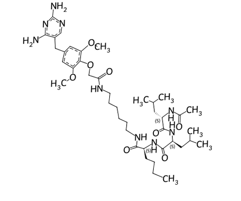 CCCC[C@H](NC(=O)[C@H](CC(C)C)NC(=O)[C@H](CC(C)C)NC(C)=O)C(=O)NCCCCCCNC(=O)COc1c(OC)cc(Cc2cnc(N)nc2N)cc1OC